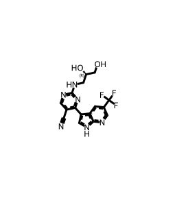 N#Cc1cnc(NC[C@@H](O)CO)nc1-c1c[nH]c2ncc(C(F)(F)F)cc12